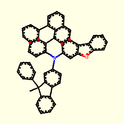 CC1(c2ccccc2)c2ccccc2-c2ccc(N(c3ccc4c(c3)oc3ccccc34)c3ccccc3-c3cccc4cccc(-c5ccccc5)c34)cc21